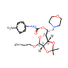 CCCCCCCCCCCCO[C@H]1O[C@H]([C@@H](CN2CCOCC2)OC(=O)Nc2ccc([N+](=O)[O-])cc2)[C@@H]2OC(C)(C)O[C@H]12